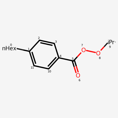 CCCCCCc1ccc(C(=O)OO[C](C)C)cc1